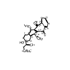 CC(=O)OCC(=O)[C@@]1(O)CCc2c(O)c3c(c(O)c2C1)C(=O)c1ccccc1C3=O